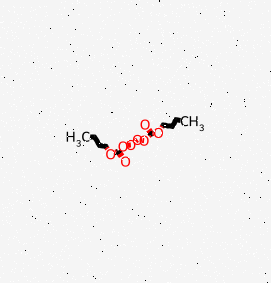 CCCCOC(=O)OOOOC(=O)OCCCC